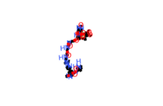 CCCOc1cc(OCCCCN(C)CC(=O)NCCCCC(=O)NCCN2CCN(c3ccc(-c4cc(C(=O)NCc5c(C)cc(C)[nH]c5=O)c5cnn(C(C)C)c5c4)cn3)CC2)cc(Oc2cc3c(cc2NS(=O)(=O)c2ccc(OC)c(OC)c2)n(C)c(=O)n3C)c1